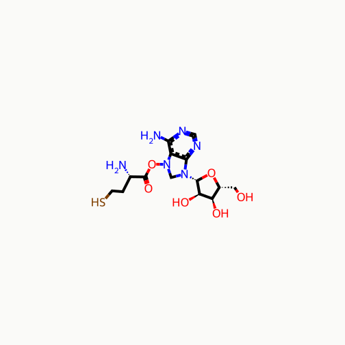 Nc1ncnc2c1N(OC(=O)[C@@H](N)CCS)CN2[C@@H]1O[C@H](CO)[C@@H](O)[C@H]1O